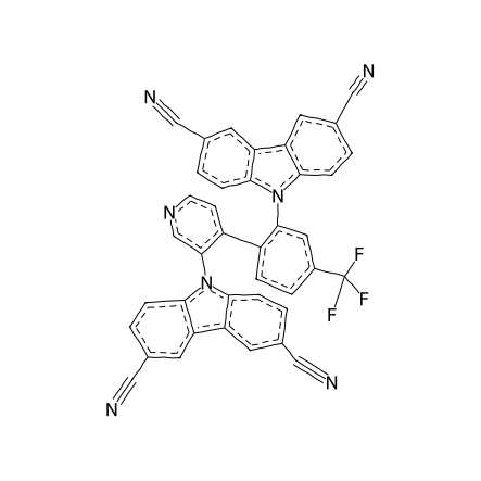 N#Cc1ccc2c(c1)c1cc(C#N)ccc1n2-c1cnccc1-c1ccc(C(F)(F)F)cc1-n1c2ccc(C#N)cc2c2cc(C#N)ccc21